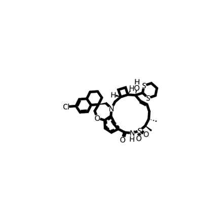 C[C@@H]1[C@@H](C)C/C=C/[C@](O)(C2SCCCS2)[C@@H]2CC[C@H]2CN2C[C@@]3(CCCC4C=C(Cl)C=CC43)COc3ccc(cc32)C(=O)NS1(=O)=O